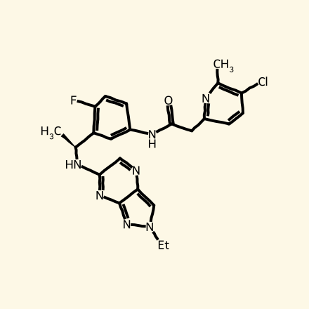 CCn1cc2ncc(N[C@@H](C)c3cc(NC(=O)Cc4ccc(Cl)c(C)n4)ccc3F)nc2n1